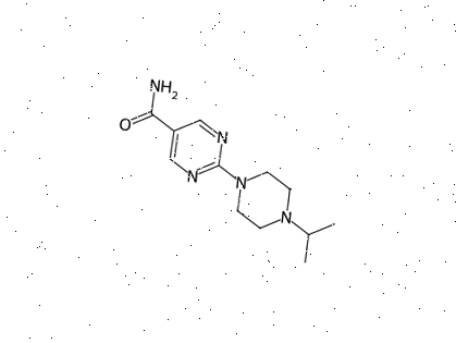 CC(C)N1CCN(c2ncc(C(N)=O)cn2)CC1